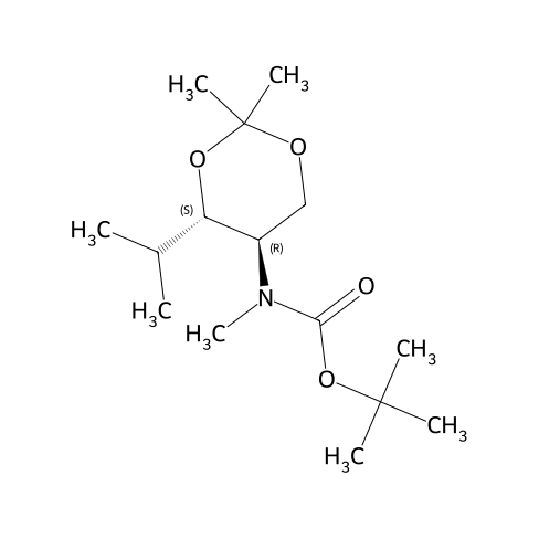 CC(C)[C@@H]1OC(C)(C)OC[C@H]1N(C)C(=O)OC(C)(C)C